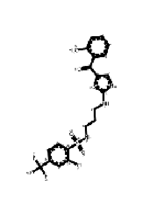 Cc1ccccc1C(=O)c1cnc(NCCCNS(=O)(=O)c2ccc(C(F)(F)F)cc2Cl)s1